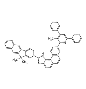 Cc1c(-c2ccccc2)cc(-c2ccccc2)nc1-c1ccc2c(ccc3ccc4c(c32)NC(c2ccc3c(c2)C(C)(C)c2cc5ccccc5cc2-3)S4)c1